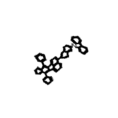 c1ccc(-c2c3c(c(-c4ccccc4)c4ccccc24)-c2ccc(-c4ccc5cc(-n6c7ccccc7c7ccccc76)ccc5c4)c4cccc-3c24)cc1